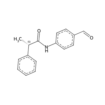 C[C@H](C(=O)Nc1ccc(C=O)cc1)c1ccccc1